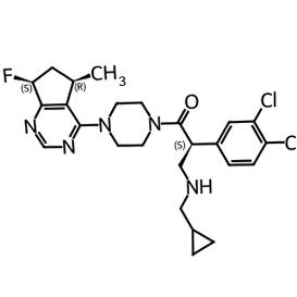 C[C@@H]1C[C@H](F)c2ncnc(N3CCN(C(=O)[C@H](CNCC4CC4)c4ccc(Cl)c(Cl)c4)CC3)c21